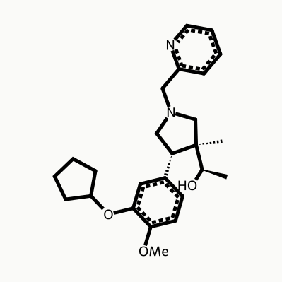 COc1ccc([C@@H]2CN(Cc3ccccn3)C[C@@]2(C)[C@@H](C)O)cc1OC1CCCC1